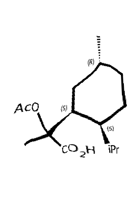 CC(=O)OC(C)(C(=O)O)[C@H]1C[C@H](C)CC[C@H]1C(C)C